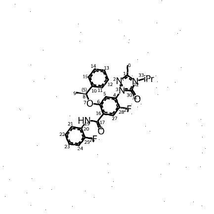 Cc1nn(-c2cc(O[C@@H](C)c3ccccc3)c(C(=O)Nc3ccccc3F)cc2F)c(=O)n1C(C)C